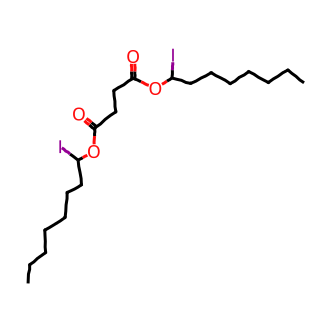 CCCCCCCC(I)OC(=O)CCC(=O)OC(I)CCCCCCC